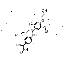 CCOc1cc([C@@H](CCCOC(C)=O)Nc2ccc(C(=N)NO)cc2)c(F)cc1OCCO